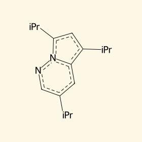 CC(C)c1cnn2c(C(C)C)cc(C(C)C)c2c1